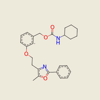 Cc1oc(-c2ccccc2)nc1CCOc1[c]c(COC(=O)NC2CCCCC2)ccc1